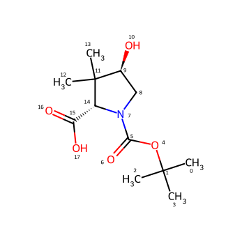 CC(C)(C)OC(=O)N1C[C@H](O)C(C)(C)[C@H]1C(=O)O